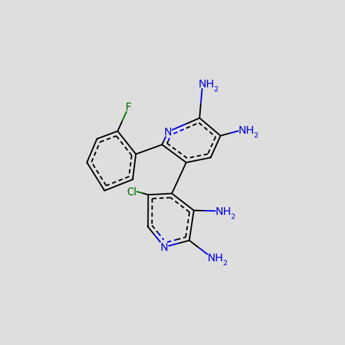 Nc1cc(-c2c(Cl)cnc(N)c2N)c(-c2ccccc2F)nc1N